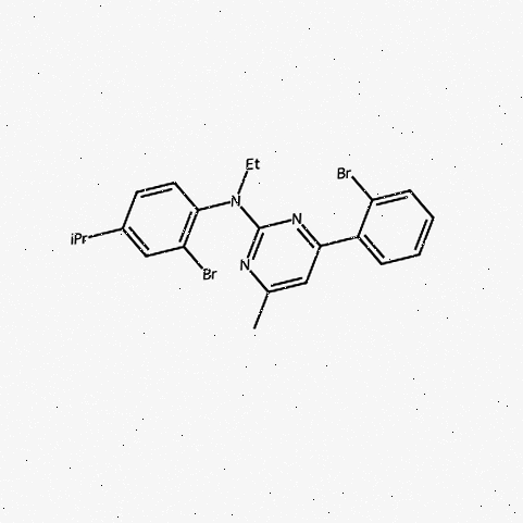 CCN(c1nc(C)cc(-c2ccccc2Br)n1)c1ccc(C(C)C)cc1Br